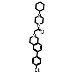 CCc1ccc(-c2ccc3c(c2)CCN(CC(=O)N2CCN(C4CCCCC4)CC2)C3)cc1